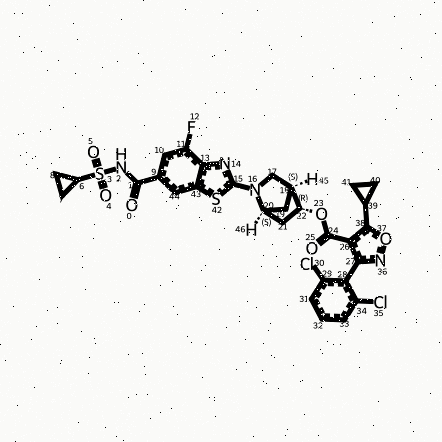 O=C(NS(=O)(=O)C1CC1)c1cc(F)c2nc(N3C[C@@H]4C[C@H]3C[C@H]4OC(=O)c3c(-c4c(Cl)cccc4Cl)noc3C3CC3)sc2c1